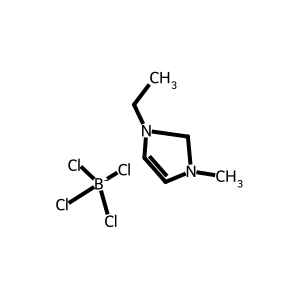 CCN1C=CN(C)C1.Cl[B-](Cl)(Cl)Cl